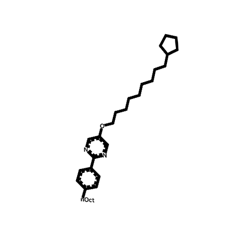 CCCCCCCCc1ccc(-c2ncc(OCCCCCCCCCC3CCCC3)cn2)cc1